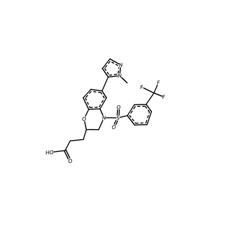 Cn1nccc1-c1ccc2c(c1)N(S(=O)(=O)c1cccc(C(F)(F)F)c1)CC(CCC(=O)O)O2